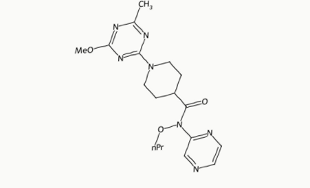 CCCON(C(=O)C1CCN(c2nc(C)nc(OC)n2)CC1)c1cnccn1